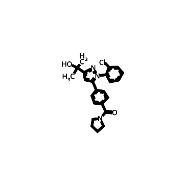 CC(C)(O)c1cc(-c2ccc(C(=O)N3CCCC3)cc2)n(-c2ccccc2Cl)n1